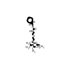 CCCOP(OCCOCCNC(=O)OC[C@@H]1[C@@H]2CCC#CCC[C@@H]21)N(C(C)C)C(C)C